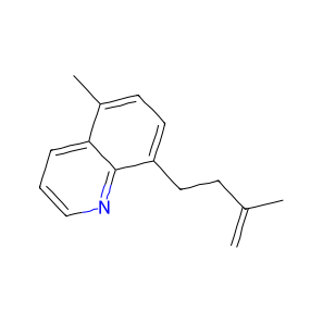 C=C(C)CCc1ccc(C)c2cccnc12